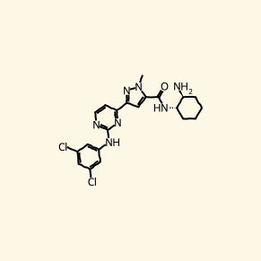 Cn1nc(-c2ccnc(Nc3cc(Cl)cc(Cl)c3)n2)cc1C(=O)N[C@H]1CCCC[C@@H]1N